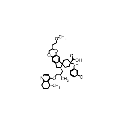 COCC[C@@H]1COc2cc3c(cc2O1)C1(CCC(Nc2cccc(Cl)c2)(C(=O)O)CC1)[C@@H](C[C@@H](C)COc1ccnc2c1[C@H](C)CCC2)C3